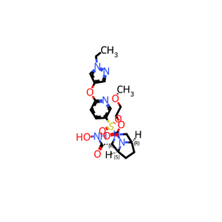 CCn1cc(Oc2ccc(S(=O)(=O)N3C[C@H]4CC[C@@H]([C@@H]3C(=O)NO)N4C(=O)OCCOC)cn2)cn1